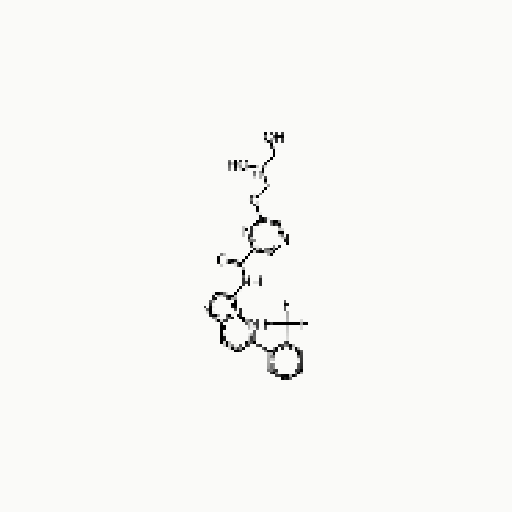 O=C(Nc1cnc2ccc(-c3ccccc3C(F)(F)F)nn12)c1cncc(OC[C@@H](O)CO)n1